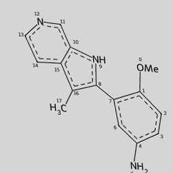 COc1ccc(N)cc1-c1[nH]c2cnccc2c1C